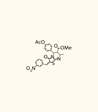 COC(=O)C1C(C)N=c2s/c(=C/c3cccc([N+](=O)[O-])c3)c(=O)n2C1c1ccc(OC(C)=O)cc1